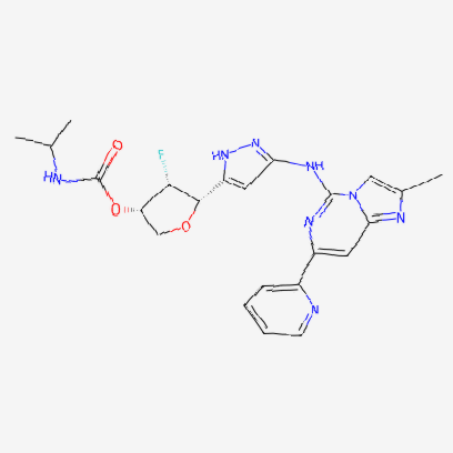 Cc1cn2c(Nc3cc([C@@H]4OC[C@H](OC(=O)NC(C)C)[C@@H]4F)[nH]n3)nc(-c3ccccn3)cc2n1